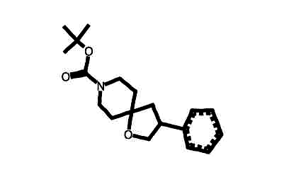 CC(C)(C)OC(=O)N1CCC2(CC1)CC(c1ccccc1)CO2